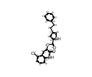 O=C(Oc1cc2c(Cl)cccc2[nH]c1=O)c1cc(CCc2ccccc2)c[nH]1